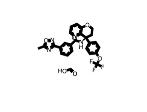 Cc1nc(-c2cccc(C(=O)N[C@]3(c4ccc(OC(F)(F)F)cc4)CCOc4cccnc43)c2)no1.O=CO